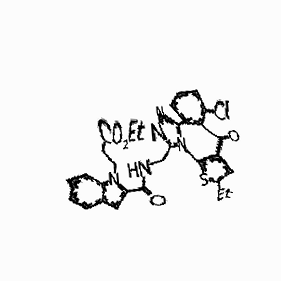 CCOC(=O)CCn1c(C(=O)NCc2nnc(C)n2-c2sc(CC)cc2C(=O)c2ccccc2Cl)cc2ccccc21